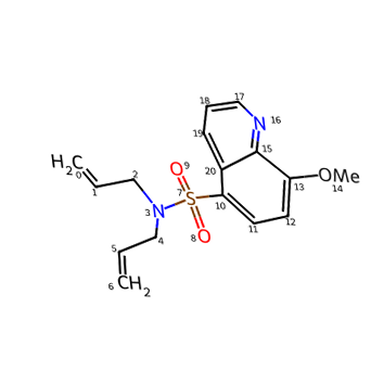 C=CCN(CC=C)S(=O)(=O)c1ccc(OC)c2ncccc12